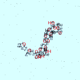 C=C1CO[C@@H](CC[C@@H]2OC(CCC3OC(C4CC(O)[C@H]5OC(CC(=O)OC6[C@H](C)O[C@H]7C[C@H]8OC(CC(OOC9CCOC9C(C)C)C(O)[C@@H](C)CC)C[C@H]8O[C@H]7[C@@H]6C)CCC5O4)[C@](O)(OC)C3O)CC2=C)C[C@H]1C